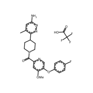 COc1cc(C(=O)N2CCC(c3nnc(N)cc3C)CC2)ncc1Oc1ccc(F)cc1.O=C(O)C(F)(F)F